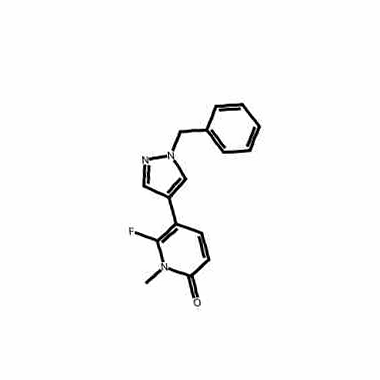 Cn1c(F)c(-c2cnn(Cc3ccccc3)c2)ccc1=O